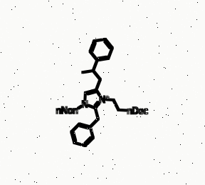 CCCCCCCCCCCC[n+]1c(CC(C)c2ccccc2)cn(CCCCCCCCC)c1Cc1ccccc1